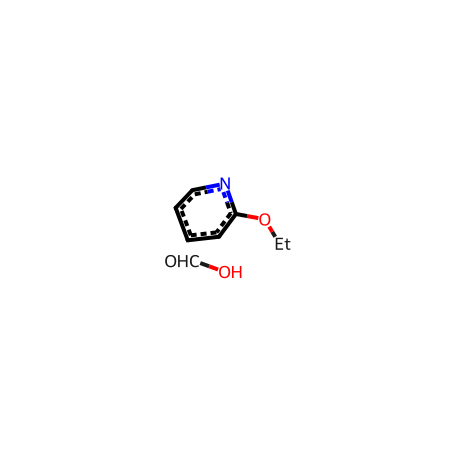 CCOc1ccccn1.O=CO